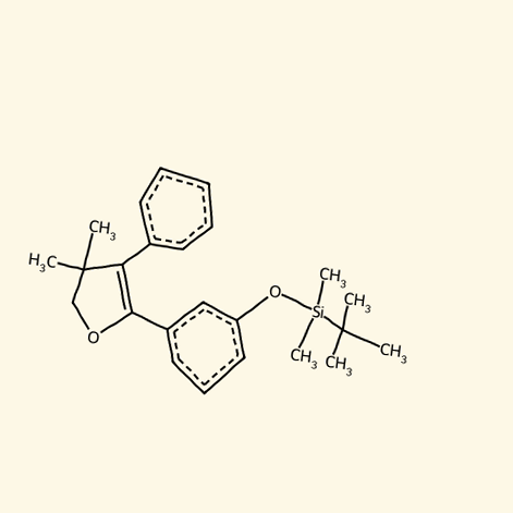 CC1(C)COC(c2cccc(O[Si](C)(C)C(C)(C)C)c2)=C1c1ccccc1